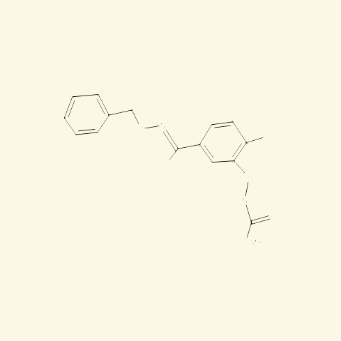 COC(=O)NOc1cc(/C(C)=N/OCc2ccccc2)ccc1Cl